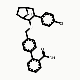 O=C(O)c1ccccc1-c1ccc(COC2C3CCC(CC2c2ccc(Cl)cc2)N3)cc1